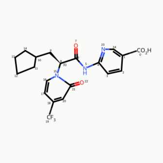 O=C(O)c1ccc(NC(=O)[C@H](CC2CCCC2)n2ccc(C(F)(F)F)cc2=O)nc1